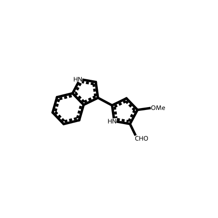 COc1cc(-c2c[nH]c3ccccc23)[nH]c1C=O